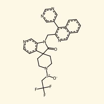 O=C1N(Cc2ncc3ccccc3c2-c2cncnc2)c2cnccc2C12CCN([S+]([O-])CC(F)(F)F)CC2